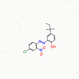 CCC(C)(C)c1ccc(O)c(N=Nc2ccc(Cl)cc2[N+](=O)[O-])c1